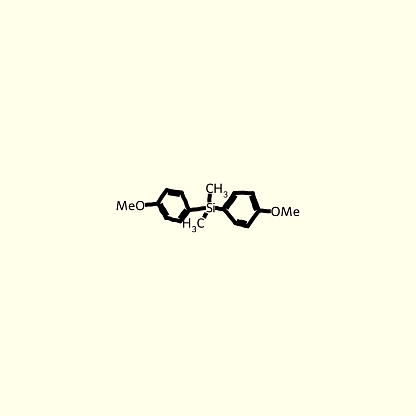 COc1ccc([Si](C)(C)c2ccc(OC)cc2)cc1